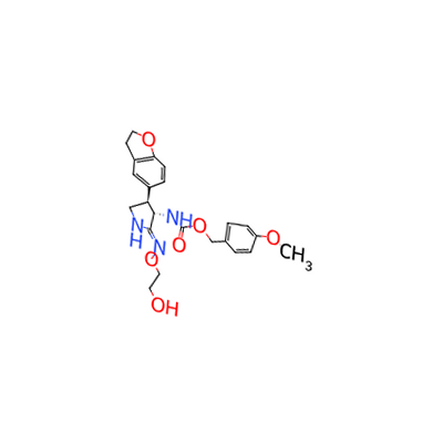 COc1ccc(COC(=O)N[C@@H]2/C(=N/OCCO)NC[C@H]2c2ccc3c(c2)CCO3)cc1